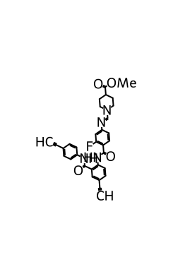 C#Cc1ccc(NC(=O)c2cc(C#C)ccc2NC(=O)c2ccc(N=CN3CCC(C(=O)OC)CC3)cc2F)cc1